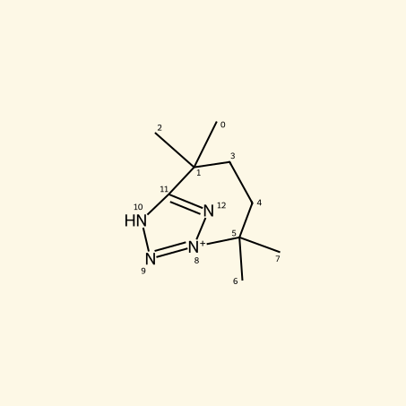 CC1(C)CCC(C)(C)[n+]2n[nH]c1n2